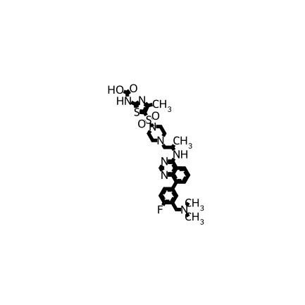 Cc1nc(NC(=O)O)sc1S(=O)(=O)N1CCN(CC(C)Nc2ncnc3c(-c4ccc(F)c(CN(C)C)c4)cccc23)CC1